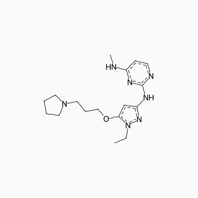 CCn1nc(Nc2nccc(NC)n2)cc1OCCCN1CCCC1